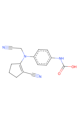 N#CCN(C1=C(C#N)CCC1)c1ccc(NC(=O)O)cc1